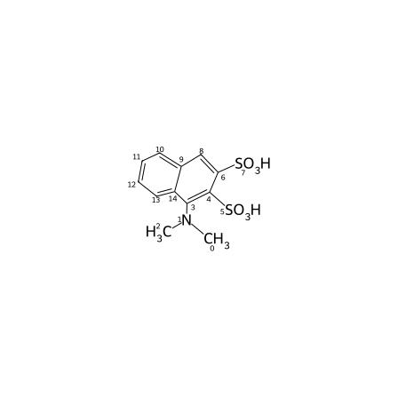 CN(C)c1c(S(=O)(=O)O)c(S(=O)(=O)O)cc2ccccc12